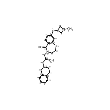 CN1CC(Oc2ccc3c(c2)OCCN(CC(O)CN2CCc4ccccc4C2)C3=O)C1